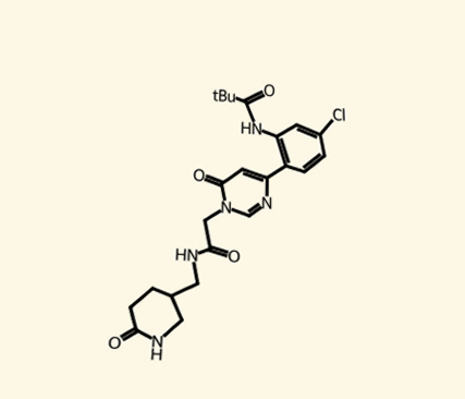 CC(C)(C)C(=O)Nc1cc(Cl)ccc1-c1cc(=O)n(CC(=O)NCC2CCC(=O)NC2)cn1